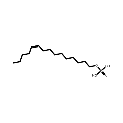 CCCC/C=C\CCCCCCCCCOP(O)(O)=S